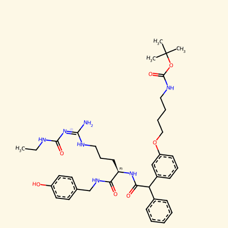 CCNC(=O)/N=C(/N)NCCC[C@@H](NC(=O)C(c1ccccc1)c1cccc(OCCCCNC(=O)OC(C)(C)C)c1)C(=O)NCc1ccc(O)cc1